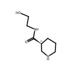 O=C(NCCO)[C@H]1CCCNC1